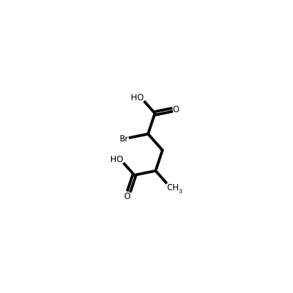 CC(CC(Br)C(=O)O)C(=O)O